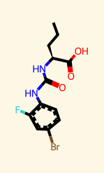 CCC[C@H](NC(=O)Nc1ccc(Br)cc1F)C(=O)O